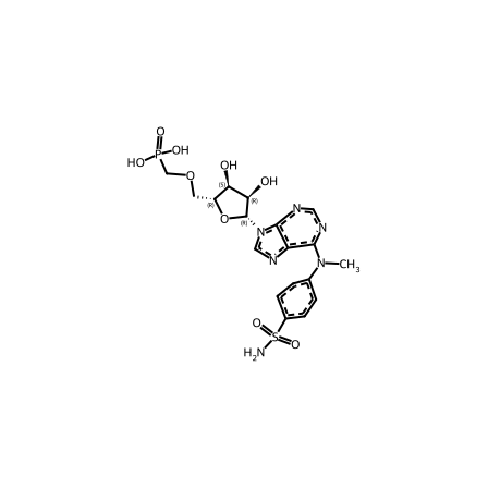 CN(c1ccc(S(N)(=O)=O)cc1)c1ncnc2c1ncn2[C@@H]1O[C@H](COCP(=O)(O)O)[C@@H](O)[C@H]1O